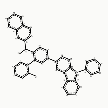 Cc1ccccc1-c1cc(-c2ccc3c(c2)c2ccccc2n3-c2ccccc2)ccc1C(C)c1ccc2ccccc2c1